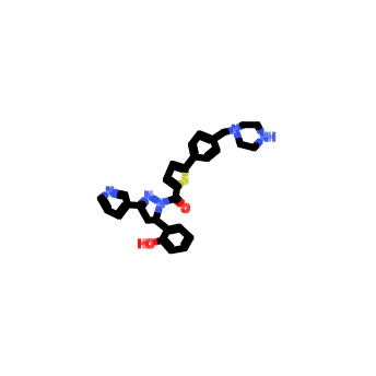 O=C(c1ccc(-c2ccc(CN3CCNCC3)cc2)s1)N1N=C(c2cccnc2)CC1c1ccccc1O